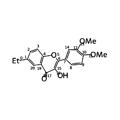 CCc1ccc2oc(-c3ccc(OC)c(OC)c3)c(O)c(=O)c2c1